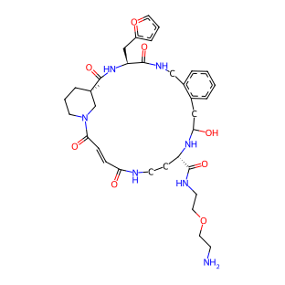 C[C@@]12CCCN(C1)C(=O)/C=C/C(=O)NCC[C@@H](C(=O)NCCOCCN)NC(O)Cc1ccccc1CNC(=O)[C@H](Cc1ccco1)NC2=O